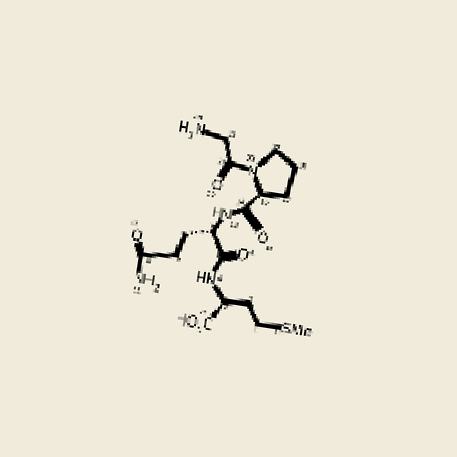 CSCC[C@H](NC(=O)[C@H](CCC(N)=O)NC(=O)[C@@H]1CCCN1C(=O)CN)C(=O)O